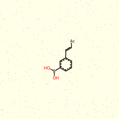 CC(=O)/C=C/c1cccc(B(O)O)c1